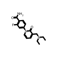 CCN(CC)Cc1cccn(-c2ccc(C(N)=O)c(F)c2)c1=O